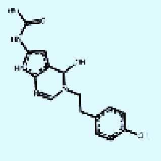 Cc1ccc(CCN2C=Nc3[nH]c(NC(=O)C(C)(C)C)cc3C2O)cc1